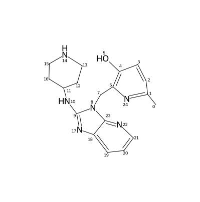 Cc1ccc(O)c(Cn2c(NC3CCNCC3)nc3cccnc32)n1